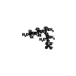 CC[N+](C)(C)CC.CC[N+](C)(C)CC.CC[N+](C)(C)CC.CC[N+](C)(C)CC.[O-][Si]([O-])([O-])[O-]